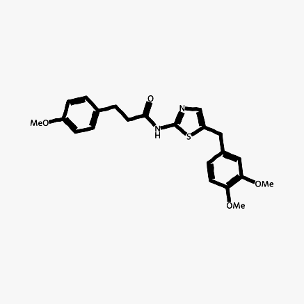 COc1ccc(CCC(=O)Nc2ncc(Cc3ccc(OC)c(OC)c3)s2)cc1